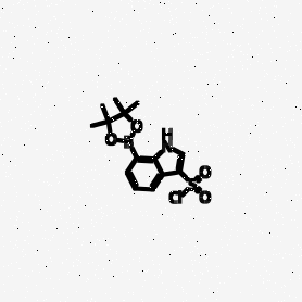 CC1(C)OB(c2cccc3c(S(=O)(=O)Cl)c[nH]c23)OC1(C)C